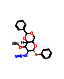 CCCCOC1C(N=[N+]=[N-])[C@@H](Sc2ccccc2)OC2COC(c3ccccc3)O[C@H]21